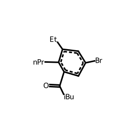 CCCc1c(CC)cc(Br)cc1C(=O)C(C)CC